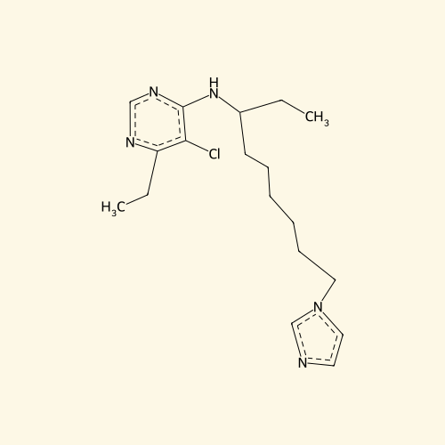 CCc1ncnc(NC(CC)CCCCCCn2ccnc2)c1Cl